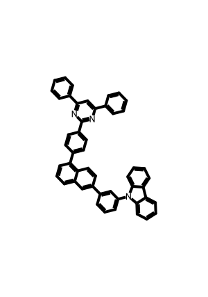 c1ccc(-c2cc(-c3ccccc3)nc(-c3ccc(-c4cccc5cc(-c6cccc(-n7c8ccccc8c8ccccc87)c6)ccc45)cc3)n2)cc1